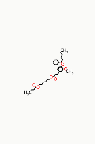 CC=CC(=O)OCCCCCCOC(=O)C=Cc1ccc(OC(CCCCC)C2CCCCC2)c(OC)c1